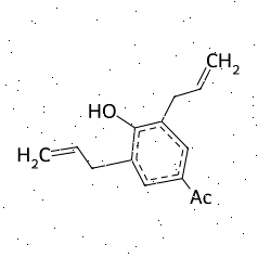 C=CCc1cc(C(C)=O)cc(CC=C)c1O